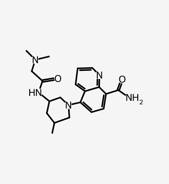 CC1CC(NC(=O)CN(C)C)CN(c2ccc(C(N)=O)c3ncccc23)C1